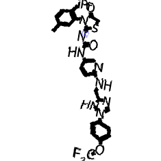 Cc1ccc(C(C)C)c(N2C(=O)CS/C2=N\C(=O)Nc2ccc(NCC3N=CN(c4ccc(OC(F)(F)F)cc4)N3)nc2)c1